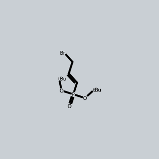 CC(C)(C)OP(=O)(C=CCBr)OC(C)(C)C